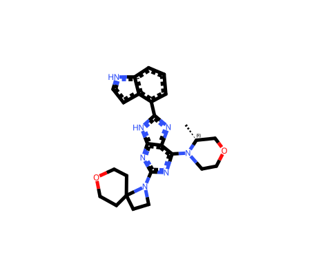 C[C@@H]1COCCN1c1nc(N2CCC23CCOCC3)nc2[nH]c(-c3cccc4[nH]ccc34)nc12